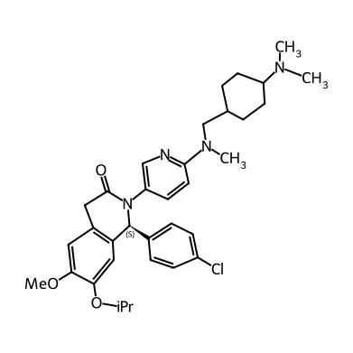 COc1cc2c(cc1OC(C)C)[C@H](c1ccc(Cl)cc1)N(c1ccc(N(C)CC3CCC(N(C)C)CC3)nc1)C(=O)C2